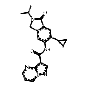 CC(C)N1Cc2cc(NC(=O)c3cnn4cccnc34)c(C3CC3)cc2C1=O